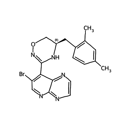 Cc1ccc(C[C@@H]2CON=C(c3c(Br)cnc4nccnc34)N2)c(C)c1